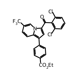 CCOC(=O)c1ccc(-c2cc(C(=O)c3c(Cl)cccc3Cl)n3cc(C(F)(F)F)ccc23)cc1